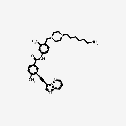 Cc1ccc(C(=O)Nc2ccc(CN3CCN(CCCCCCN)CC3)c(C(F)(F)F)c2)cc1C#Cc1cnc2cccnn12